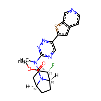 CCCCOC(=O)N1[C@H]2CC[C@@H]1[C@@H](F)[C@@H](N(C)c1ncc(-c3cc4ccncc4s3)nn1)C2